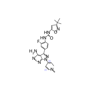 C=N/C=C\C(=C/C)n1nc(-c2ccc(NC(=O)Nc3cc(C(C)(C)C)no3)c(F)c2)c2c(N)ncnc21